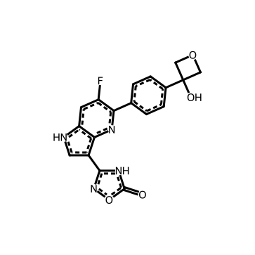 O=c1[nH]c(-c2c[nH]c3cc(F)c(-c4ccc(C5(O)COC5)cc4)nc23)no1